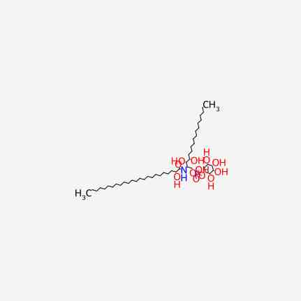 CCCCCCCCCCCCCCCCCCCCCCC(O)C(=O)NC(COP(=O)(O)OC1C[C@H](O)C(O)C(O)[C@H]1O)C(O)C(O)CCCCCCCCCCCCCC